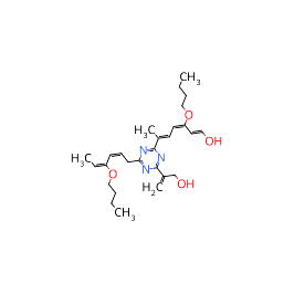 C=C(CO)c1nc(C/C=C\C(=C/C)OCCCC)nc(/C(C)=C/C=C(\C=C\O)OCCCC)n1